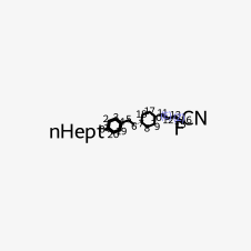 CCCCCCCc1ccc(CC[C@H]2CC[C@H](/C=C/C=C(\F)C#N)CC2)cc1